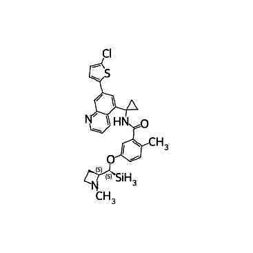 Cc1ccc(O[C@@H]([SiH3])[C@@H]2CCN2C)cc1C(=O)NC1(c2cc(-c3ccc(Cl)s3)cc3ncccc23)CC1